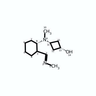 CN=CC1CCCC[C@@H]1N(C)[C@H]1C[C@@H](O)C1